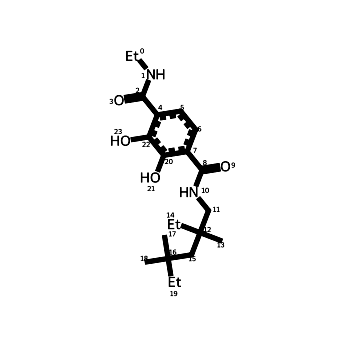 CCNC(=O)c1ccc(C(=O)NCC(C)(CC)CC(C)(C)CC)c(O)c1O